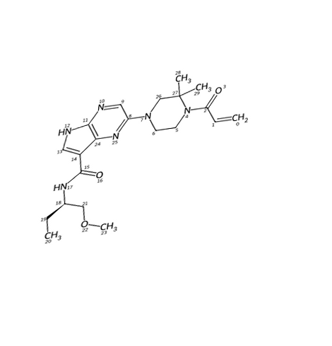 C=CC(=O)N1CCN(c2cnc3[nH]cc(C(=O)N[C@H](CC)COC)c3n2)CC1(C)C